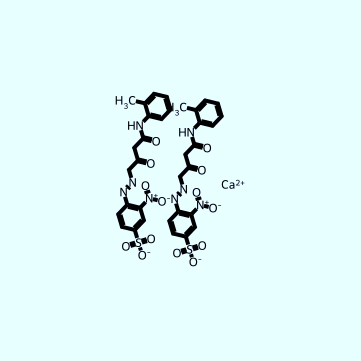 Cc1ccccc1NC(=O)CC(=O)CN=Nc1ccc(S(=O)(=O)[O-])cc1[N+](=O)[O-].Cc1ccccc1NC(=O)CC(=O)CN=Nc1ccc(S(=O)(=O)[O-])cc1[N+](=O)[O-].[Ca+2]